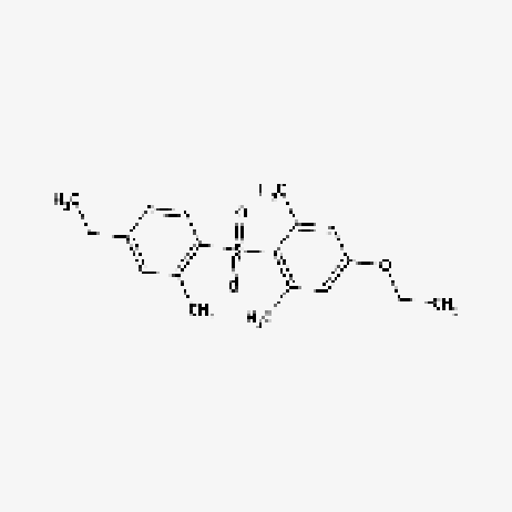 CCOc1cc(C)c(S(=O)(=O)c2ccc(CC)cc2C)c(C)c1